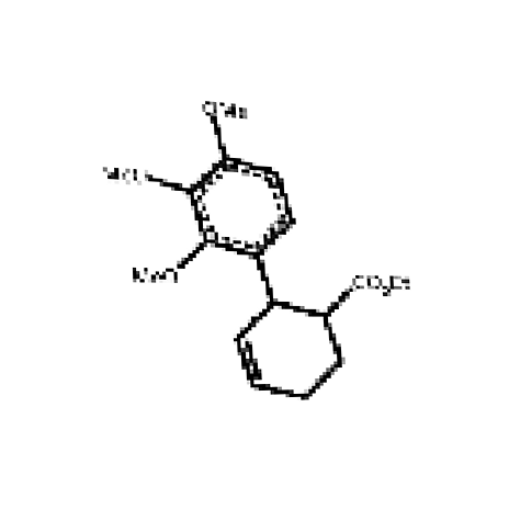 CCOC(=O)C1CCC=CC1c1ccc(OC)c(OC)c1OC